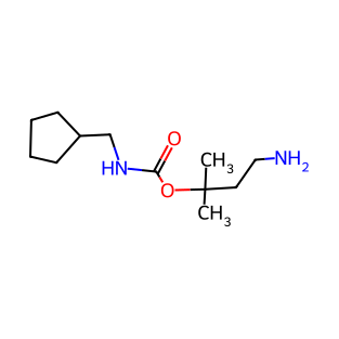 CC(C)(CCN)OC(=O)NCC1CCCC1